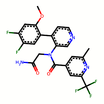 COc1cc(F)c(F)cc1-c1ccncc1N(CC(N)=O)C(=O)c1cc(C)nc(C(F)(F)F)c1